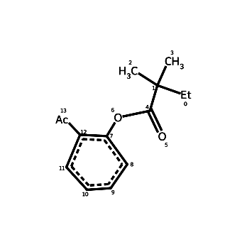 CCC(C)(C)C(=O)Oc1ccccc1C(C)=O